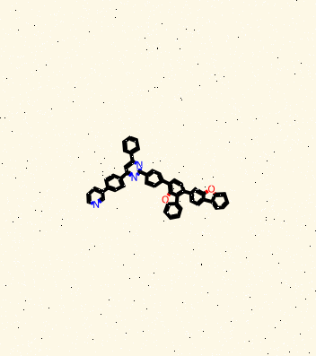 c1ccc(-c2cc(-c3ccc(-c4cccnc4)cc3)nc(-c3ccc(-c4ccc(-c5ccc6c(c5)oc5ccccc56)c5c4oc4ccccc45)cc3)n2)cc1